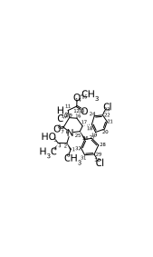 CC[C@@H]([C@H](C)O)N1C(=O)[C@@](C)(CC(=O)OC)C[C@H](c2cccc(Cl)c2)[C@H]1c1ccc(Cl)cc1